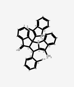 Cc1c(C23c4ccccc4C(=O)C2C(c2ccccc2F)c2c(C)c4ccccc4n23)[nH]c2ccccc12